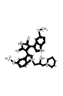 COc1ccc2[nH]cc(C3=C(c4cn(CC(O)CN5CCCCC5)c5ccc(OC)cc45)C(=O)NC3=O)c2c1